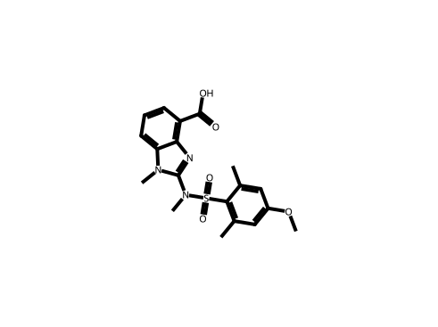 COc1cc(C)c(S(=O)(=O)N(C)c2nc3c(C(=O)O)cccc3n2C)c(C)c1